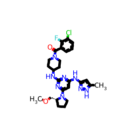 COC[C@H]1CCCN1c1cc(Nc2cc(C)[nH]n2)nc(NC2CCN(C(=O)c3cccc(Cl)c3F)CC2)n1